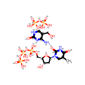 Cc1cn([C@H]2C[C@H](O)[C@@H](COP(=O)(O)OP(=O)(O)OP(=O)(O)O)O2)c(=O)[nH]c1=O.Nc1nc(=O)[nH]cc1CO.O=P(O)(O)OP(=O)(O)O